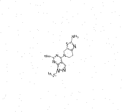 Cn1ncc2c(N3CCc4nc(N)sc4C3)nc(C(C)(C)C)nc21